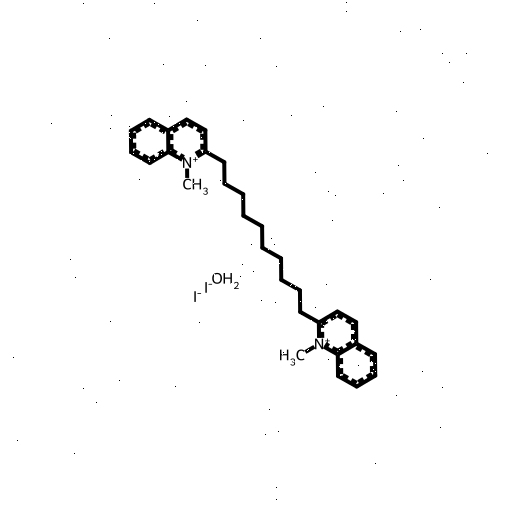 C[n+]1c(CCCCCCCCCCc2ccc3ccccc3[n+]2C)ccc2ccccc21.O.[I-].[I-]